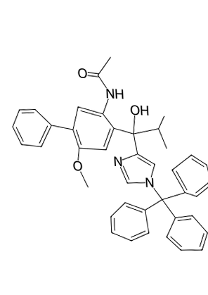 COc1cc(C(O)(c2cn(C(c3ccccc3)(c3ccccc3)c3ccccc3)cn2)C(C)C)c(NC(C)=O)cc1-c1ccccc1